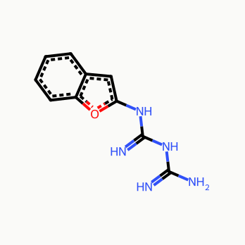 N=C(N)NC(=N)Nc1cc2ccccc2o1